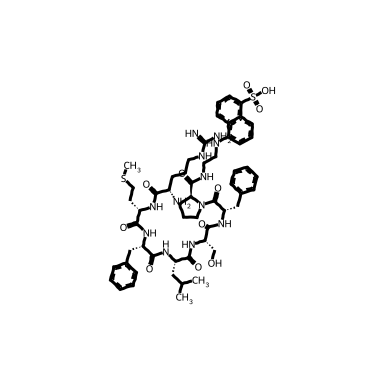 CSCC[C@H](NC(=O)[C@@H](N)CCCNC(=N)N)C(=O)N[C@@H](Cc1ccccc1)C(=O)N[C@@H](CC(C)C)C(=O)N[C@@H](CO)C(=O)N[C@@H](Cc1ccccc1)C(=O)N1CCC[C@H]1C(=O)NCCNc1cccc2c(S(=O)(=O)O)cccc12